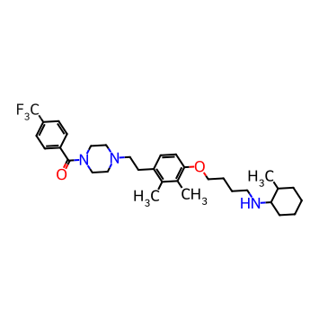 Cc1c(CCN2CCN(C(=O)c3ccc(C(F)(F)F)cc3)CC2)ccc(OCCCCNC2CCCCC2C)c1C